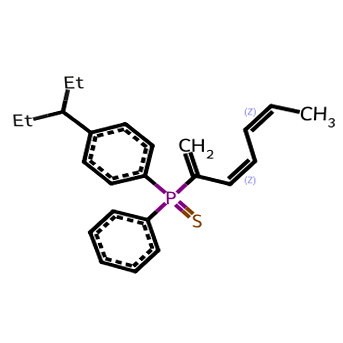 C=C(/C=C\C=C/C)P(=S)(c1ccccc1)c1ccc(C(CC)CC)cc1